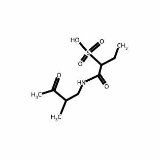 CCC(C(=O)NCC(C)C(C)=O)S(=O)(=O)O